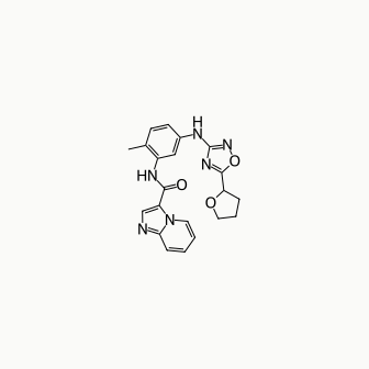 Cc1ccc(Nc2noc(C3CCCO3)n2)cc1NC(=O)c1cnc2ccccn12